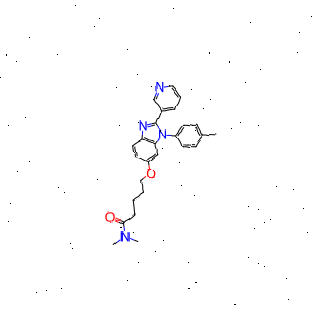 Cc1ccc(-n2c(-c3cccnc3)nc3ccc(OCCCCC(=O)N(C)C)cc32)cc1